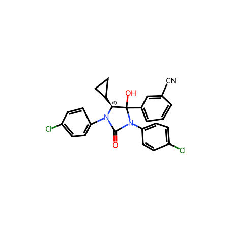 N#Cc1cccc(C2(O)[C@H](C3CC3)N(c3ccc(Cl)cc3)C(=O)N2c2ccc(Cl)cc2)c1